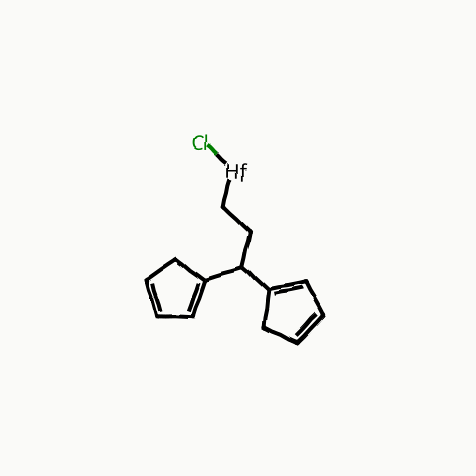 [Cl][Hf][CH2]CC(C1=CC=CC1)C1=CC=CC1